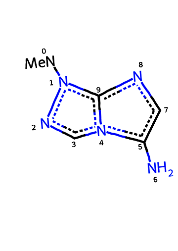 CNn1ncn2c(N)cnc12